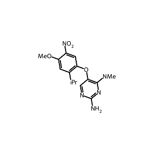 CNc1nc(N)ncc1Oc1cc([N+](=O)[O-])c(OC)cc1C(C)C